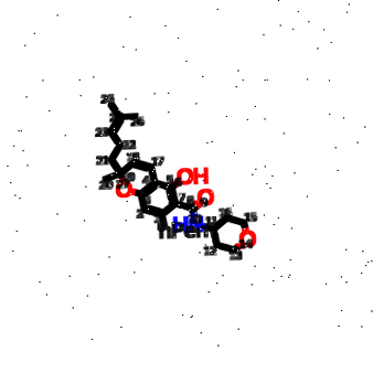 CCCCCc1cc2c(c(O)c1C(=O)NC1CCOCC1)C=CC(C)(CCC=C(C)C)O2